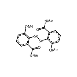 CNC(=O)c1cccc(OC)c1[Se][Se]c1c(OC)cccc1C(=O)NC